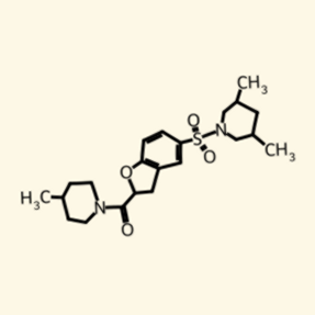 CC1CCN(C(=O)C2Cc3cc(S(=O)(=O)N4CC(C)CC(C)C4)ccc3O2)CC1